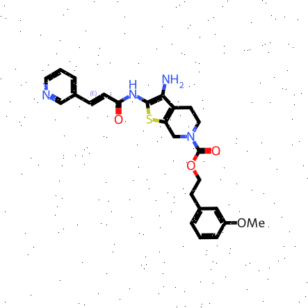 COc1cccc(CCOC(=O)N2CCc3c(sc(NC(=O)/C=C/c4cccnc4)c3N)C2)c1